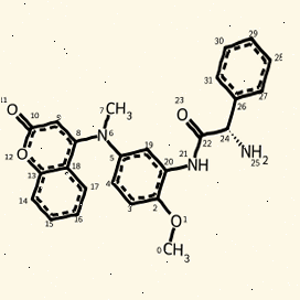 COc1ccc(N(C)c2cc(=O)oc3ccccc23)cc1NC(=O)[C@@H](N)c1ccccc1